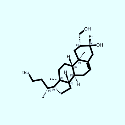 CC[C@@]1(O)CC2=CC[C@H]3[C@@H]4CC[C@H]([C@H](C)CCC(C)(C)C)[C@@]4(C)CC[C@@H]3[C@@]2(C)C[C@@H]1CO